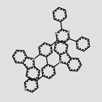 c1ccc(-c2nc(-c3ccccc3)nc(-c3ccc(-n4c5ccccc5c5ccccc54)c(-c4cc(-c5ccncc5)ccc4-n4c5ccccc5c5ccccc54)c3)n2)cc1